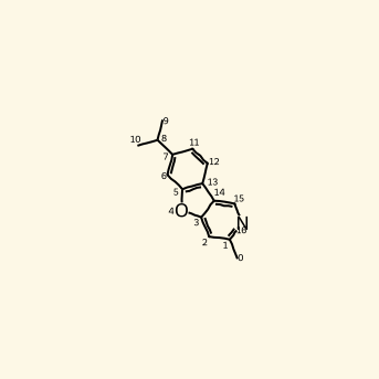 Cc1cc2oc3cc(C(C)C)ccc3c2cn1